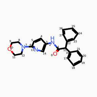 O=C(Nc1ccc(N2CCOCC2)nc1)C(c1ccccc1)c1ccccc1